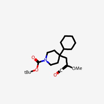 COC(=C=O)CC1(C2CCCCC2)CCN(C(=O)OC(C)(C)C)CC1